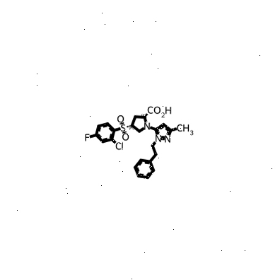 Cc1cc(N2C[C@H](S(=O)(=O)c3ccc(F)cc3Cl)C[C@H]2C(=O)O)n(CCc2ccccc2)n1